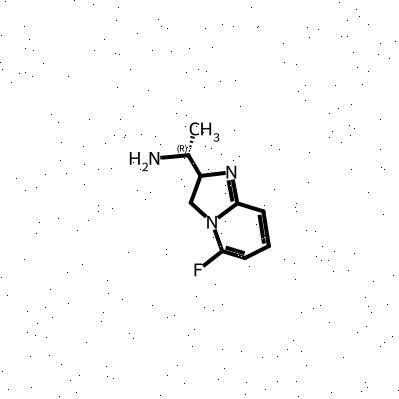 C[C@@H](N)C1CN2C(F)=CC=CC2=N1